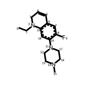 CCN1CC=Cc2cc(F)c(N3CCN(C)CC3)cc21